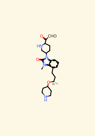 C[C@@H](CCc1cccc2c1n(C)c(=O)n2C1CCC(C(=O)C=O)NC1)OC1CCNCC1